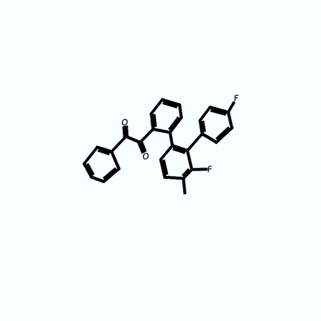 Cc1ccc(-c2ccccc2C(=O)C(=O)c2ccccc2)c(-c2ccc(F)cc2)c1F